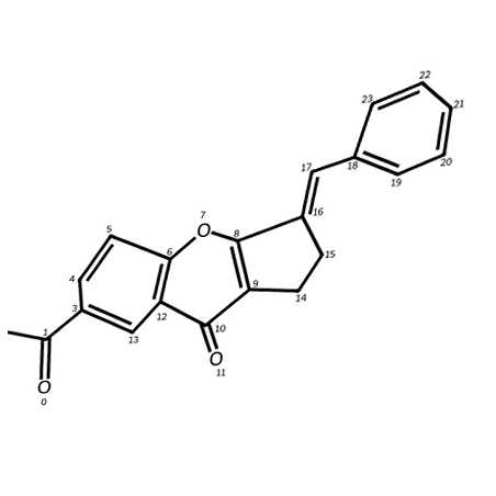 O=C(O)c1ccc2oc3c(c(=O)c2c1)CC/C3=C\c1ccccc1